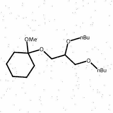 CCCCOCC(COC1(OC)CCCCC1)OCCCC